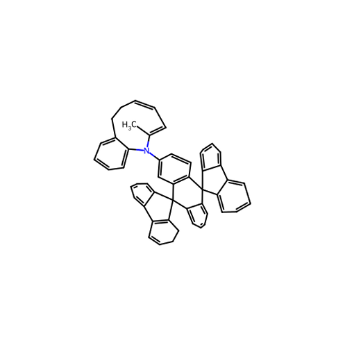 C/C1=C\C=C/CCc2ccccc2N1c1ccc2c(c1)C1(C3=C(C=CCC3)c3ccccc31)c1ccccc1C21c2ccccc2-c2ccccc21